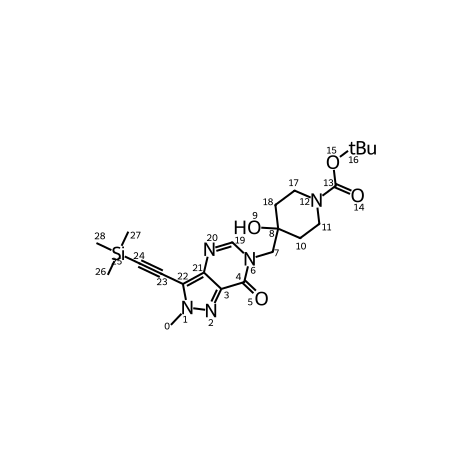 Cn1nc2c(=O)n(CC3(O)CCN(C(=O)OC(C)(C)C)CC3)cnc2c1C#C[Si](C)(C)C